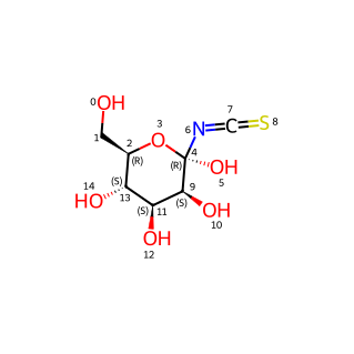 OC[C@H]1O[C@@](O)(N=C=S)[C@@H](O)[C@@H](O)[C@@H]1O